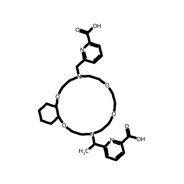 CC(c1cccc(C(=O)O)n1)N1CCOCCOCCN(Cc2cccc(C(=O)O)n2)CCOC2CCCCC2OCC1